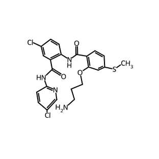 CSc1ccc(C(=O)Nc2ccc(Cl)cc2C(=O)Nc2ccc(Cl)cn2)c(OCCCN)c1